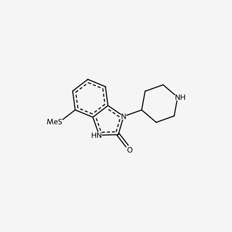 CSc1cccc2c1[nH]c(=O)n2C1CCNCC1